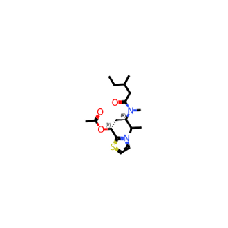 CCC(C)CC(=O)N(C)[C@H](C[C@@H](OC(C)=O)c1nccs1)C(C)C